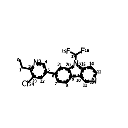 CCc1ncc(-c2ccc3c4cnccc4n(C(F)F)c3c2)cc1Cl